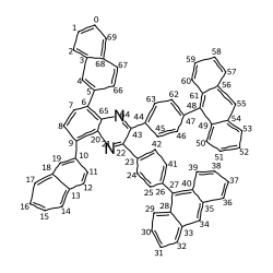 c1ccc2cc(-c3ccc(-c4ccc5ccccc5c4)c4nc(-c5ccc(-c6c7ccccc7cc7ccccc67)cc5)c(-c5ccc(-c6c7ccccc7cc7ccccc67)cc5)nc34)ccc2c1